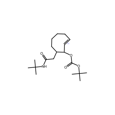 CC(C)(C)NC(=O)CC1CCCC/C=C/C1OC(=O)OC(C)(C)C